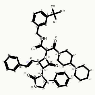 O=C(NCc1cccc(C(F)(F)F)c1)C(C(=O)N1CCC(N2CCCCC2)CC1)N1C(=O)[C@@H](N2C(=O)OC[C@@H]2c2ccccc2)[C@H]1/C=C/c1ccccc1